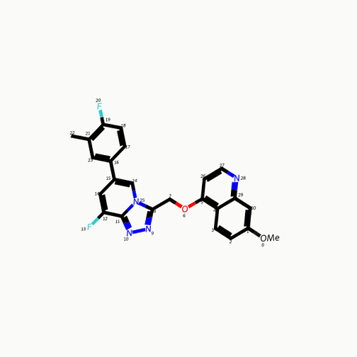 COc1ccc2c(OCc3nnc4c(F)cc(-c5ccc(F)c(C)c5)cn34)ccnc2c1